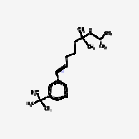 CC(C)NC(C)(C)CCC/C=C/c1cccc(C(C)(C)C)c1